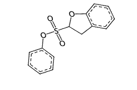 O=S(=O)(Oc1ccccc1)C1Cc2ccccc2O1